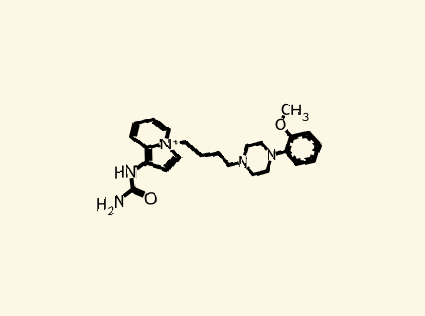 COc1ccccc1N1CCN(CCCC[N+]23C=CC=CC2=C(NC(N)=O)C=C3)CC1